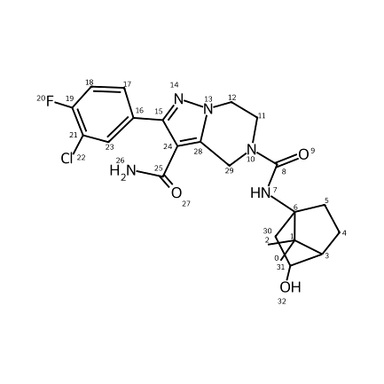 CC1(C)C2CCC1(NC(=O)N1CCn3nc(-c4ccc(F)c(Cl)c4)c(C(N)=O)c3C1)CC2O